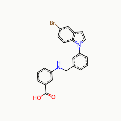 O=C(O)c1cccc(NCc2cccc(-n3ccc4cc(Br)ccc43)c2)c1